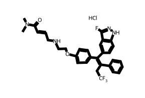 CN(C)C(=O)C=CCNCCOc1ccc(C(=C(CC(F)(F)F)c2ccccc2)c2ccc3[nH]nc(F)c3c2)cc1.Cl